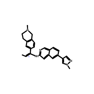 C/C=C(/Nc1cc2cc(-c3cnn(C)c3)ccc2cn1)c1ccc2c(c1)CCN(C)C2